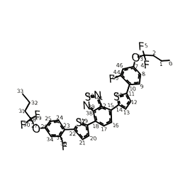 CCCC(F)(F)Oc1ccc(-c2ccc(-c3ccc(-c4ccc(-c5ccc(OC(F)(F)CCC)cc5F)s4)c4nsnc34)s2)c(F)c1